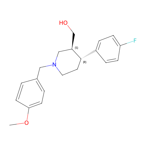 COc1ccc(CN2CC[C@@H](c3ccc(F)cc3)[C@H](CO)C2)cc1